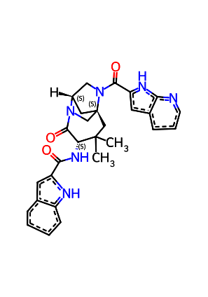 CC1(C)C[C@@]23C[C@@H](CN2C(=O)c2cc4cccnc4[nH]2)N(C3)C(=O)[C@H]1NC(=O)c1cc2ccccc2[nH]1